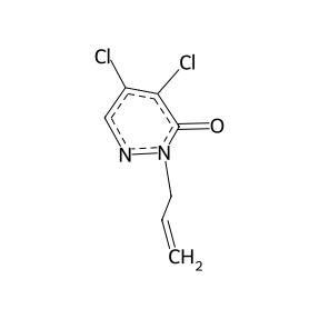 C=CCn1ncc(Cl)c(Cl)c1=O